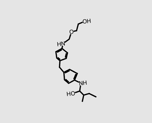 CCC(C)C(O)Nc1ccc(Cc2ccc(NCOCCO)cc2)cc1